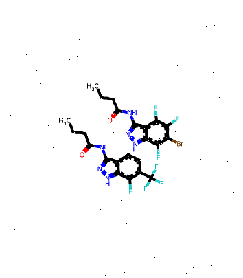 CCCC(=O)Nc1n[nH]c2c(F)c(Br)c(F)c(F)c12.CCCC(=O)Nc1n[nH]c2c(F)c(C(F)(F)F)ccc12